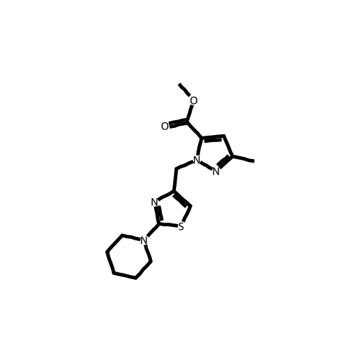 COC(=O)c1cc(C)nn1Cc1csc(N2CCCCC2)n1